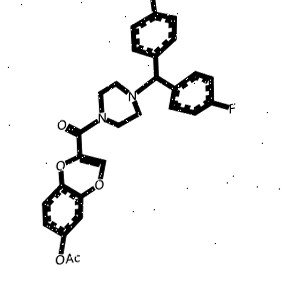 CC(=O)Oc1ccc2c(c1)OC=C(C(=O)N1CCN(C(c3ccc(F)cc3)c3ccc(F)cc3)CC1)O2